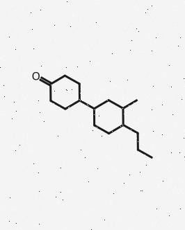 CCCC1CCC(C2CCC(=O)CC2)CC1C